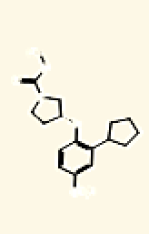 CC(C)(C)OC(=O)N1CC[C@H](Oc2ccc(C(=O)O)cc2C2CCCC2)C1